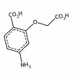 Nc1ccc(C(=O)O)c(OCC(=O)O)c1